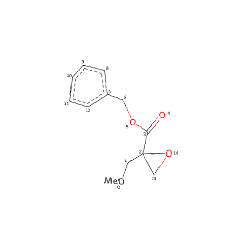 COCC1(C(=O)OCc2ccccc2)CO1